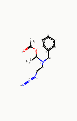 CC(=O)OC(C)N(CCN=[N+]=[N-])Cc1ccccc1